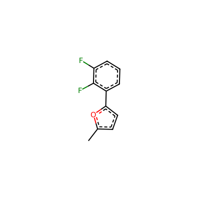 Cc1ccc(-c2cccc(F)c2F)o1